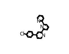 Clc1ccc(-c2ccnc(-c3cccc(-c4ccccn4)n3)c2)cc1